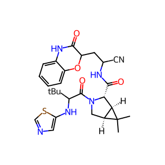 CC(C)(C)C(Nc1cncs1)C(=O)N1C[C@H]2[C@@H]([C@H]1C(=O)NC(C#N)CC1Oc3ccccc3NC1=O)C2(C)C